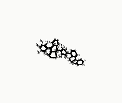 [2H]c1c([2H])c([2H])c(-c2c3ccccc3c(-c3c([2H])c([2H])c(-c4cccc5c4ccc4sc6ccccc6c45)c([2H])c3[2H])c3ccccc23)c([2H])c1[2H]